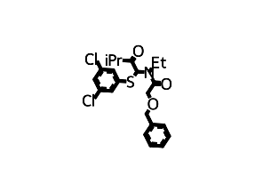 CCN(C(=O)COCc1ccccc1)C(Sc1cc(Cl)cc(Cl)c1)C(=O)C(C)C